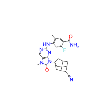 Cc1cc(C(N)=O)c(F)cc1Nc1ncc2c(n1)n(C13CC4CC5C(C#N)C(C1)C45C3)c(=O)n2C